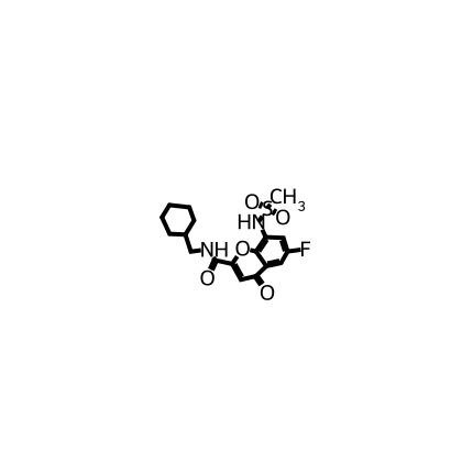 CS(=O)(=O)Nc1cc(F)cc2c(=O)cc(C(=O)NCC3CCCCC3)oc12